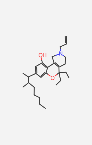 C=CCN1CCC2=C(C1)c1c(O)cc(C(C)C(C)CCCCC)cc1OC2(CC)CC